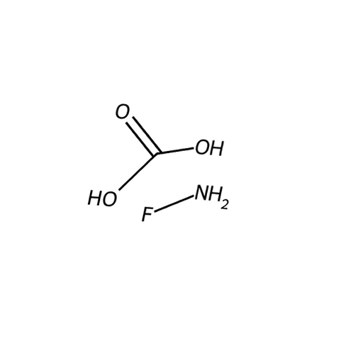 NF.O=C(O)O